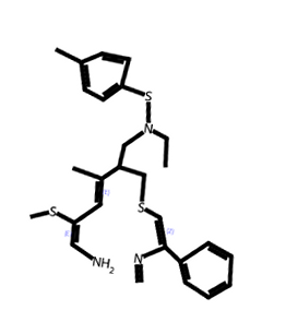 C=N/C(=C\SCC(CN(CC)Sc1ccc(C)cc1)/C(C)=C/C(=C\N)SC)c1ccccc1